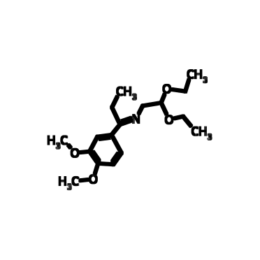 CCOC(C/N=C(\CC)c1ccc(OC)c(OC)c1)OCC